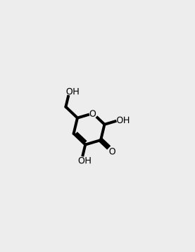 O=C1C(O)=CC(CO)OC1O